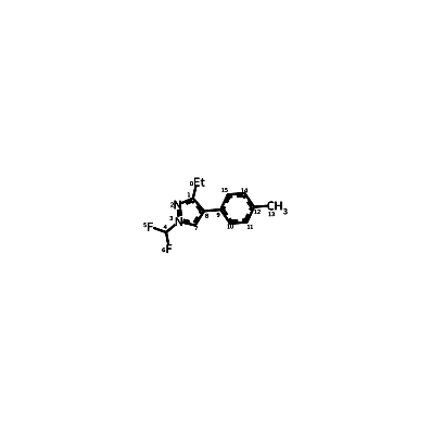 CCc1nn(C(F)F)cc1-c1ccc(C)cc1